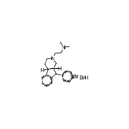 Br.Br.CN(C)CCN1CC[C@H]2c3ccccc3C(c3ccccc3)[C@H]2C1